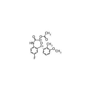 COc1cccc([C@H]2O[C@H](OC(C)=O)C(=O)Nc3ccc(F)cc32)c1C